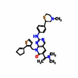 C=C(c1cc2cnc(Nc3ccc(C4CN(C)CCS4)cc3)nc2n(Cc2ccsc2C2=CCCC2)c1=O)N(C)C